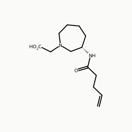 C=CCCC(=O)N[C@H]1CCCCN(CC(=O)O)C1